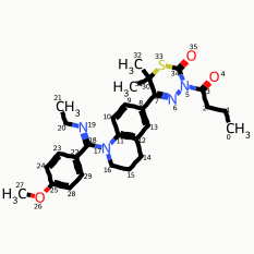 CCCC(=O)N1N=C(c2ccc3c(c2)CCCN3C(=NCC)c2ccc(OC)cc2)C(C)(C)SC1=O